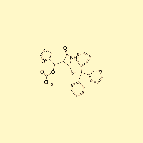 CC(=O)OC(c1ccco1)C1C(=O)NC1SC(c1ccccc1)(c1ccccc1)c1ccccc1